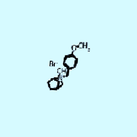 COc1ccc(C[N@+]2(C)CC3CCC2C3)cc1.[Br-]